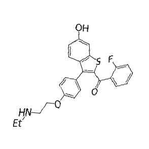 CCNCCOc1ccc(-c2c(C(=O)c3ccccc3F)sc3cc(O)ccc23)cc1